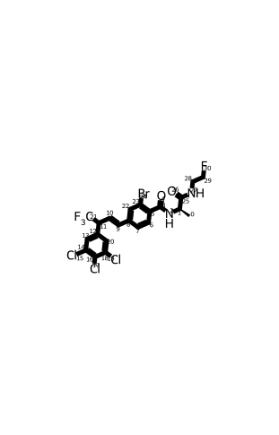 C[C@@H](NC(=O)c1ccc(/C=C/C(c2cc(Cl)c(Cl)c(Cl)c2)C(F)(F)F)cc1Br)C(=O)NCCF